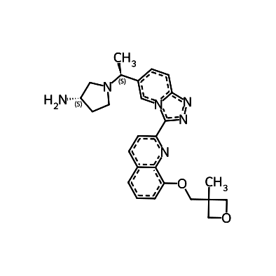 C[C@@H](c1ccc2nnc(-c3ccc4cccc(OCC5(C)COC5)c4n3)n2c1)N1CC[C@H](N)C1